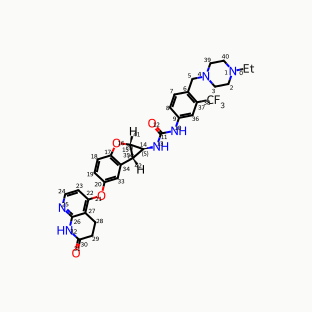 CCN1CCN(Cc2ccc(NC(=O)N[C@@H]3[C@H]4Oc5ccc(Oc6ccnc7c6CCC(=O)N7)cc5[C@@H]34)cc2C(F)(F)F)CC1